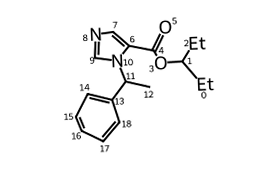 CCC(CC)OC(=O)c1cncn1C(C)c1ccccc1